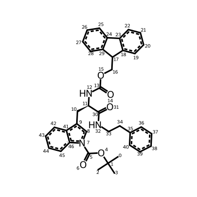 CC(C)(C)OC(=O)n1cc(C[C@@H](NC(=O)OCC2c3ccccc3-c3ccccc32)C(=O)NCCc2ccccc2)c2ccccc21